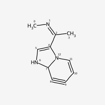 C/N=C(/C)C1=CNC2C#CC=CN12